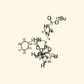 CC(C)(C)OC(=O)c1ncn(C[C@@H](NC(=O)Cc2ccccc2)B2OC3[C@@H]4C[C@H](C[C@]3(C)O2)C4(C)C)n1